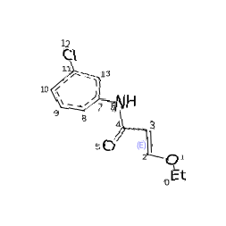 CCO/C=C/C(=O)Nc1cccc(Cl)c1